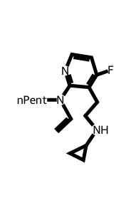 C=CN(CCCCC)c1nccc(F)c1CCNC1CC1